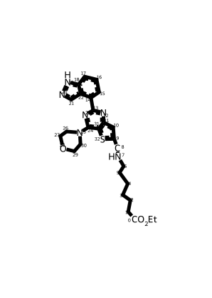 CCOC(=O)CCCCCCNCc1cc2nc(-c3cccc4[nH]ncc34)nc(N3CCOCC3)c2s1